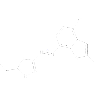 CCc1nnc(/N=N/c2ccc(O)c3cc(C)sc23)o1